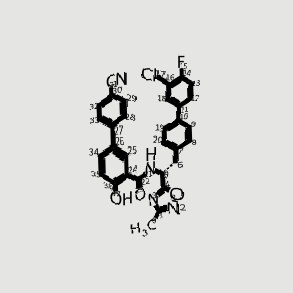 Cc1noc([C@@H](Cc2ccc(-c3ccc(F)c(Cl)c3)cc2)NC(=O)c2cc(-c3ccc(C#N)cc3)ccc2O)n1